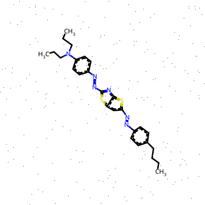 CCCCc1ccc(N=Nc2cc3sc(N=Nc4ccc(N(CCC)CCC)cc4)nc3s2)cc1